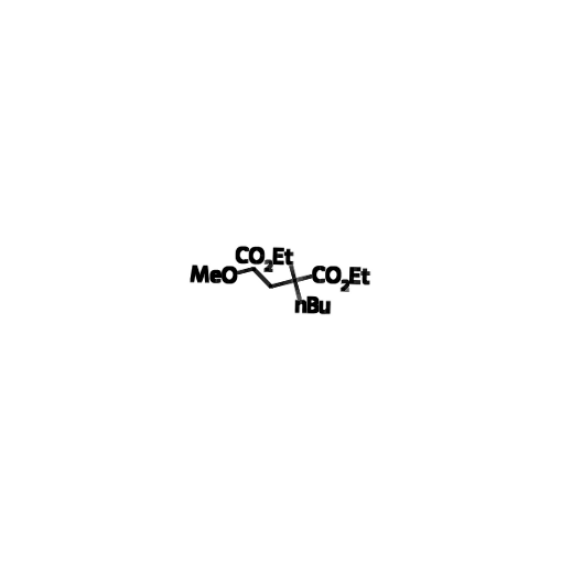 CCCCC(CCOC)(C(=O)OCC)C(=O)OCC